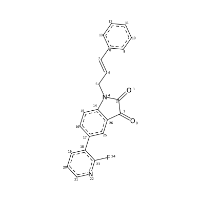 O=C1C(=O)N(C/C=C/c2ccccc2)c2ccc(-c3cccnc3F)cc21